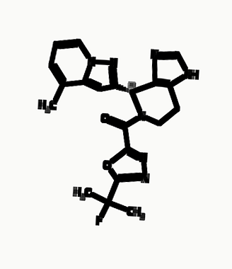 Cc1cccn2nc([C@@H]3c4nc[nH]c4CCN3C(=O)c3nnc(C(C)(C)F)o3)cc12